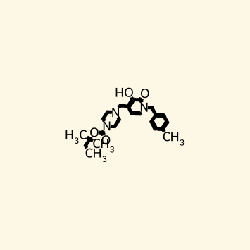 CCC(C)(C)OC(=O)N1CCN(Cc2ccn(Cc3ccc(C)cc3)c(=O)c2O)CC1